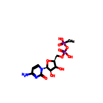 CC(=O)OP(=O)(O)OP(=O)(O)OC[C@H]1O[C@@H](n2ccc(N)nc2=O)[C@@H](O)C1O